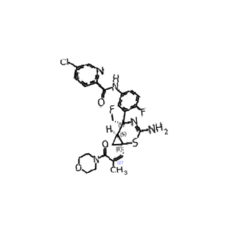 C/C(=C/[C@]12C[C@H]1[C@@](CF)(c1cc(NC(=O)c3ccc(Cl)cn3)ccc1F)N=C(N)S2)C(=O)N1CCOCC1